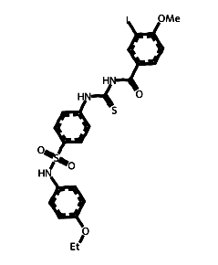 CCOc1ccc(NS(=O)(=O)c2ccc(NC(=S)NC(=O)c3ccc(OC)c(I)c3)cc2)cc1